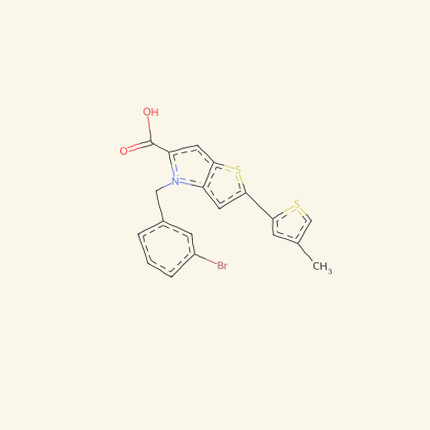 Cc1csc(-c2cc3c(cc(C(=O)O)n3Cc3cccc(Br)c3)s2)c1